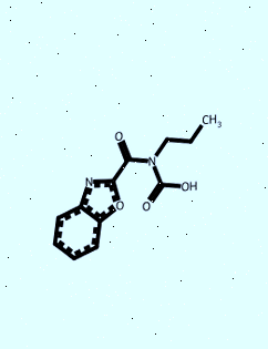 CCCN(C(=O)O)C(=O)c1nc2ccccc2o1